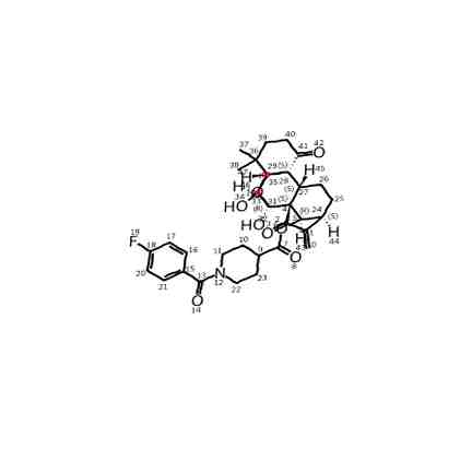 C=C1C(=O)[C@]23[C@H](OC(=O)C4CCN(C(=O)c5ccc(F)cc5)CC4)[C@H]1CC[C@H]2[C@@]12CO[C@@]3(O)[C@@H](O)[C@@H]1C(C)(C)CCC2=O